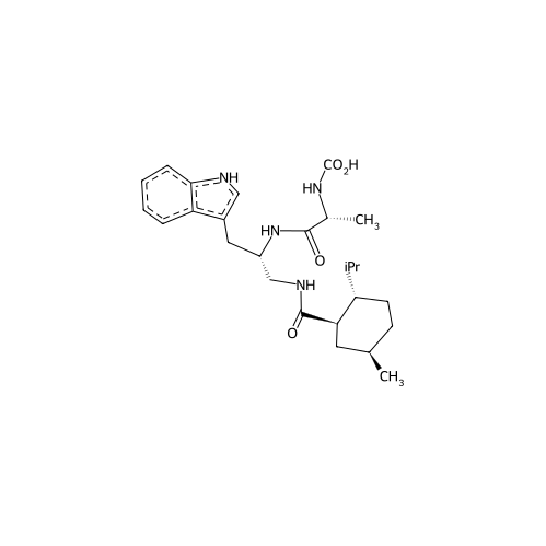 CC(C)[C@@H]1CC[C@@H](C)C[C@H]1C(=O)NC[C@H](Cc1c[nH]c2ccccc12)NC(=O)[C@@H](C)NC(=O)O